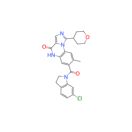 Cc1cc2c(cc1C(=O)N1CCc3ccc(Cl)cc31)[nH]c(=O)c1cnc(C3CCOCC3)n12